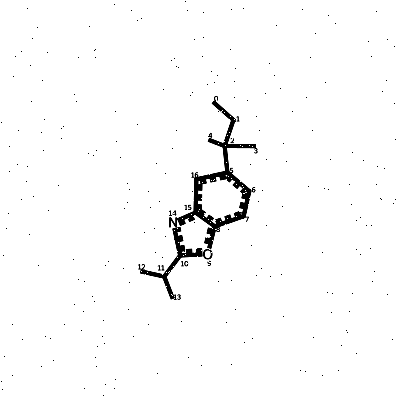 CCC(C)(C)c1ccc2oc(C(C)C)nc2c1